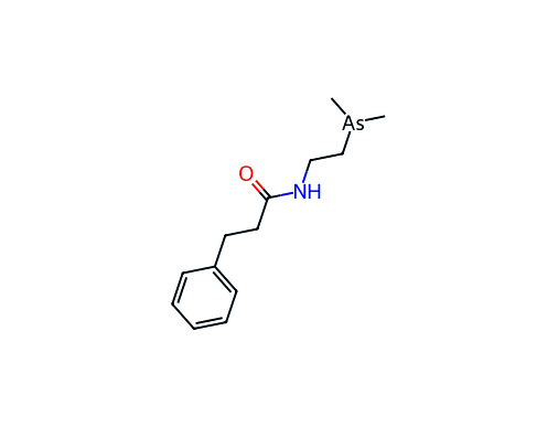 C[As](C)CCNC(=O)CCc1ccccc1